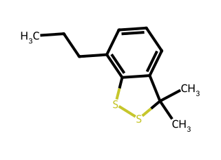 CCCc1cccc2c1SSC2(C)C